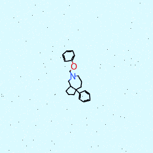 c1ccc(OCN2CCCC3(c4ccccc4)CCCC3C2)cc1